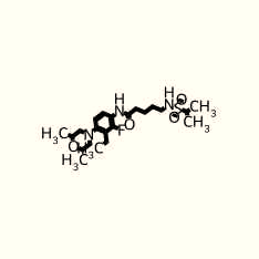 CCc1c(N2CC(C)O[C@@H](C)C2)ccc(NC(=O)CCCCNS(=O)(=O)C(C)C)c1F